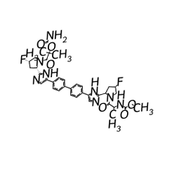 COC(=O)N[C@@H](C)C(=O)N1CC(F)CC1c1ncc(-c2ccc(-c3ccc(-c4cnc([C@@H]5C[C@H](F)CN5C(=O)C(C)(C)OC(N)=O)[nH]4)cc3)cc2)[nH]1